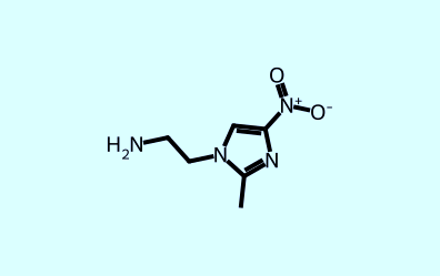 Cc1nc([N+](=O)[O-])cn1CCN